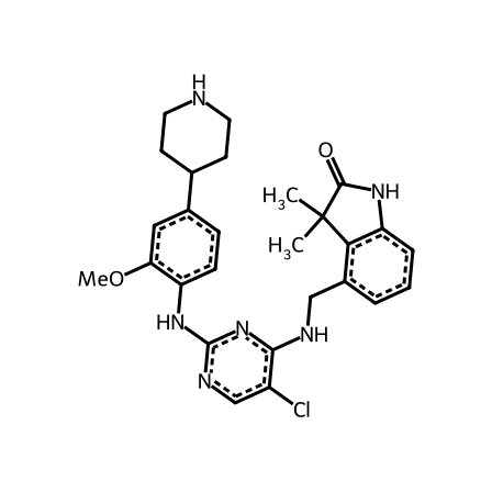 COc1cc(C2CCNCC2)ccc1Nc1ncc(Cl)c(NCc2cccc3c2C(C)(C)C(=O)N3)n1